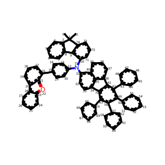 CC1(C)c2ccccc2-c2c(N(c3ccc(-c4cccc5c4oc4ccccc45)cc3)c3ccc4c5c(cccc35)-c3c(-c5ccccc5)c(-c5ccccc5)c(-c5ccccc5)c(-c5ccccc5)c3-4)cccc21